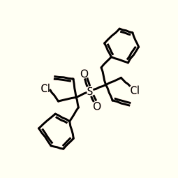 C=CC(CCl)(Cc1ccccc1)S(=O)(=O)C(C=C)(CCl)Cc1ccccc1